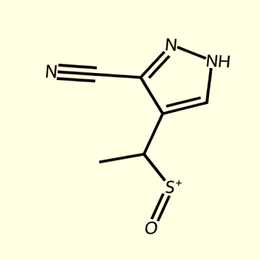 CC([S+]=O)c1c[nH]nc1C#N